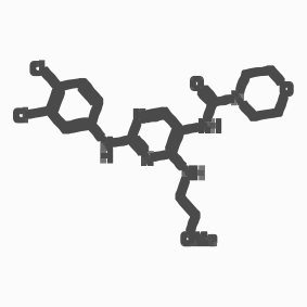 COCCNc1nc(Nc2ccc(Cl)c(Cl)c2)ncc1NC(=O)N1CCOCC1